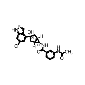 CC(=O)Nc1cccc(C(=O)N[C@H]2[C@@H]3C[C@@](O)(c4cc(Cl)cc5[nH]ncc45)C[C@@H]32)c1